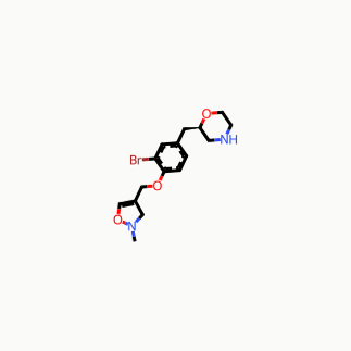 CN1CC(COc2ccc(C[C@@H]3CNCCO3)cc2Br)=CO1